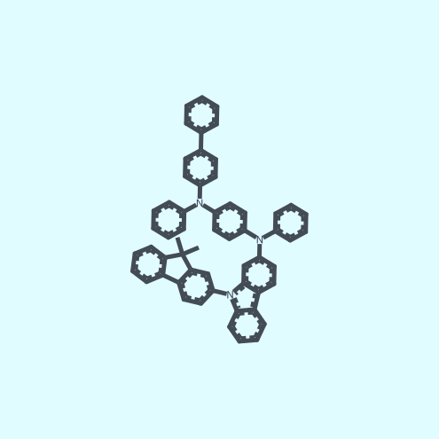 CC1(C)c2ccccc2-c2ccc(-n3c4ccccc4c4ccc(N(c5ccccc5)c5ccc(N(c6ccccc6)c6ccc(-c7ccccc7)cc6)cc5)cc43)cc21